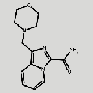 NC(=O)c1nc(CN2CCOCC2)c2ccccn12